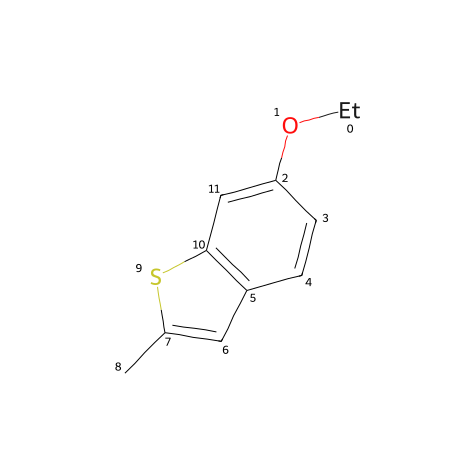 CCOc1ccc2cc(C)sc2c1